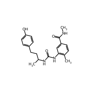 CNC(=O)c1ccc(C)c(NC(=O)NC(C)CCc2ccc(O)cc2)c1